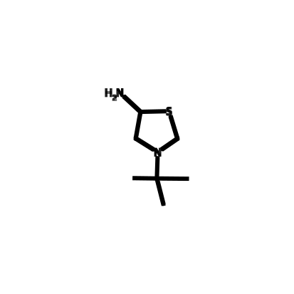 CC(C)(C)N1CSC(N)C1